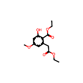 CCOC(=O)Cc1cc(OC)cc(O)c1C(=O)OCC